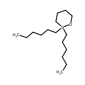 CCCCCC[Si]1(CCCCCC)CCCCO1